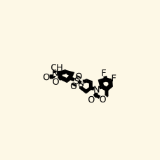 Cn1c(=O)oc2cc(S(=O)(=O)N3CCC(N4C(=O)OCc5cc(F)c(F)cc54)CC3)ccc21